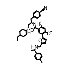 CCC1CCC(NCC(Cc2ccc(C#N)cc2)NC(=O)c2cc(-c3ccc(CNC(C)c4ccc(C)cc4)o3)c(OC)cc2Cl)CC1